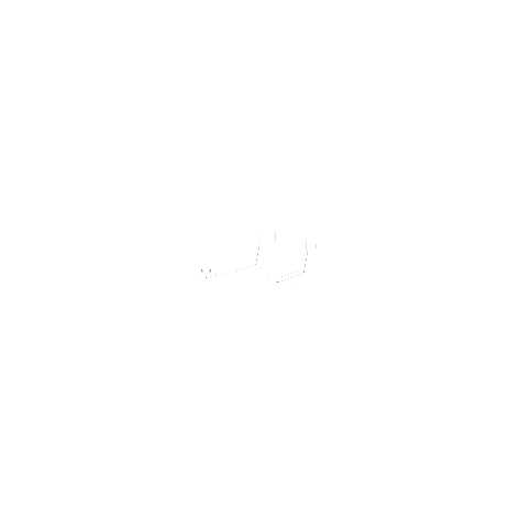 CC/C=C\C(C)OC